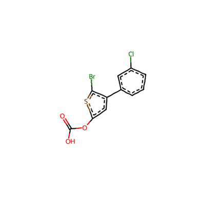 O=C(O)Oc1cc(-c2cccc(Cl)c2)c(Br)s1